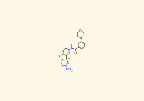 CC1(c2cc(NC(=O)c3cccc(N4CCOCC4)c3)ccc2F)CCSC(N)=N1